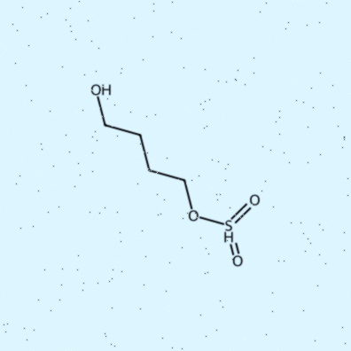 O=[SH](=O)OCCCCO